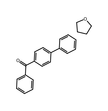 C1CCOC1.O=C(c1ccccc1)c1ccc(-c2ccccc2)cc1